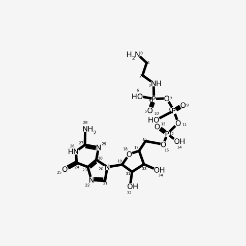 NCCNP(=O)(O)OP(=O)(O)OP(=O)(O)OCC1OC(n2cnc3c(=O)[nH]c(N)nc32)C(O)C1O